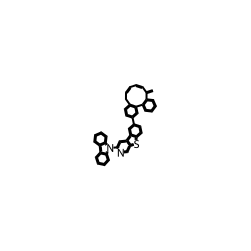 C=C1/C=C\C=C/Cc2ccc(-c3ccc4sc5cnc(-n6c7ccccc7c7ccccc76)cc5c4c3)cc2-c2ccccc21